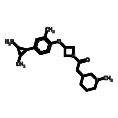 BC1C(C)C1c1ccc(OC2CN(C(=O)CC3CCCN(C)C3)C2)c(C)c1